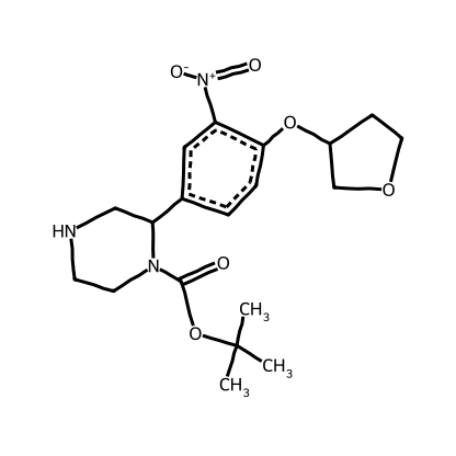 CC(C)(C)OC(=O)N1CCNCC1c1ccc(OC2CCOC2)c([N+](=O)[O-])c1